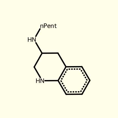 CCCCCNC1CNc2ccccc2C1